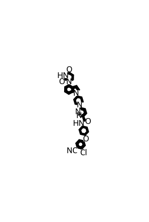 N#Cc1ccc(O[C@H]2CC[C@H](NC(=O)c3ccc(N4CCC(n5ccc6c(N7CCC(=O)NC7=O)cccc65)CC4)nn3)CC2)cc1Cl